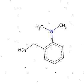 CN(C)c1ccccc1[CH2][SnH]